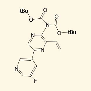 C=Cc1nc(-c2cncc(F)c2)cnc1N(C(=O)OC(C)(C)C)C(=O)OC(C)(C)C